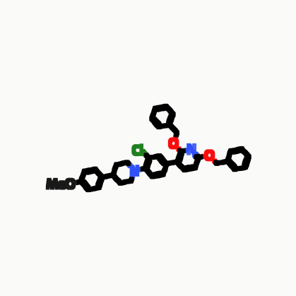 COc1ccc(C2CCN(c3ccc(-c4ccc(OCc5ccccc5)nc4OCc4ccccc4)cc3Cl)CC2)cc1